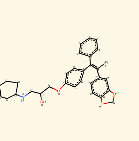 CCC(=C(c1ccccc1)c1ccc(OCC(O)CNC2CCCCC2)cc1)c1ccc2c(c1)OCO2